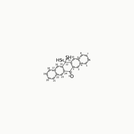 O=C1c2cc3ccccc3cc2C(S)(S)c2cc3ccccc3cc21